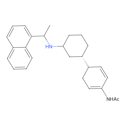 CC(=O)NC1=CCC([C@H]2CCCC(NC(C)c3cccc4ccccc34)C2)C=C1